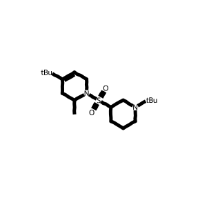 CC1CC(C(C)(C)C)=CCN1S(=O)(=O)C1CCCN(C(C)(C)C)C1